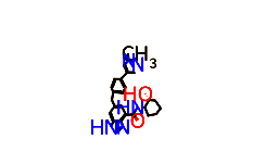 Cn1cc(-c2ccc(Cc3cc(C(=O)N[C@@H]4CCCC[C@H]4O)c4nc[nH]c4c3)cc2)cn1